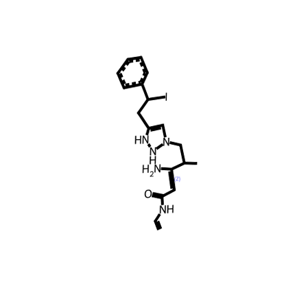 C=CNC(=O)/C=C(\N)C(C)CN1C=C(CC(I)c2ccccc2)NN1